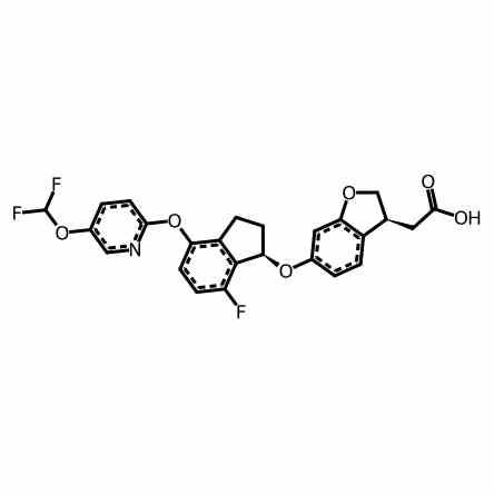 O=C(O)C[C@@H]1COc2cc(O[C@@H]3CCc4c(Oc5ccc(OC(F)F)cn5)ccc(F)c43)ccc21